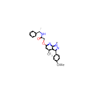 COc1ccc(-c2nn(C)c3nc(OCC(=O)N[C@@H](C)c4ccccc4)cc(C(F)(F)F)c23)cc1